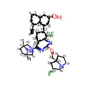 C#Cc1cccc2cc(O)cc(-c3c(F)cc4c(N5C[C@H]6CC[C@](C)(C5)N6)nc(OC[C@@]56CCCN5C[C@H](F)C6)nc4c3F)c12